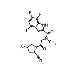 CC1CC(C#N)N(C(=O)CN(C)C(=O)c2cc3c(F)cc(F)c(F)c3[nH]2)C1